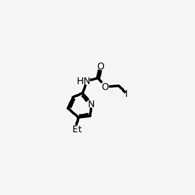 CCc1ccc(NC(=O)OCI)nc1